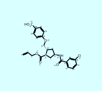 C=CCOC(=O)N1C[C@H](NC(=O)c2cccc(Cl)c2)C[C@H]1COc1ccc(C(=O)O)cc1